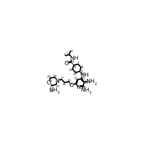 CC(C)NC(=O)[C@H]1CC[C@@H](Nc2cc(OCCCN3CCOCC3)ncc2N)CC1.N.N